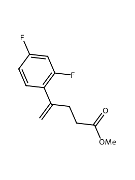 C=C(CCC(=O)OC)c1ccc(F)cc1F